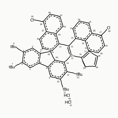 CC(C)(C)c1cc2c(cc1C(C)(C)C)-c1cc(C(C)(C)C)c(C(C)(C)C)[c]([Zr]([C]3=CC=CC3)=[C](c3cccc4c(Cl)cccc34)c3cccc4c(Cl)cccc34)c1C2.Cl.Cl